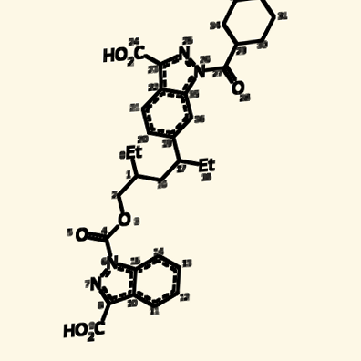 CCC(COC(=O)n1nc(C(=O)O)c2ccccc21)CC(CC)c1ccc2c(C(=O)O)nn(C(=O)C3CCCCC3)c2c1